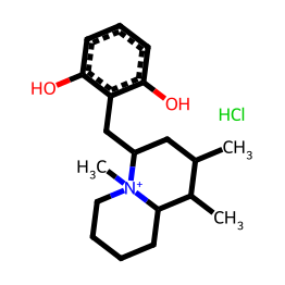 CC1CC(Cc2c(O)cccc2O)[N+]2(C)CCCCC2C1C.Cl